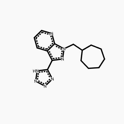 c1cnc2c(c1)c(-c1nnn[nH]1)nn2CC1CCCCCC1